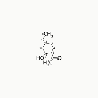 CCC1CCC(C(C)=O)C(O)C1